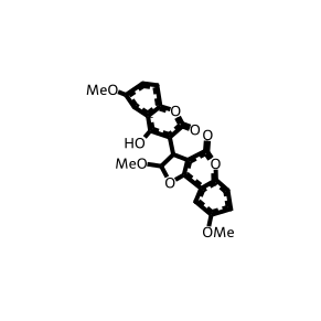 COc1ccc2oc(=O)c(C3c4c(c5cc(OC)ccc5oc4=O)OC3OC)c(O)c2c1